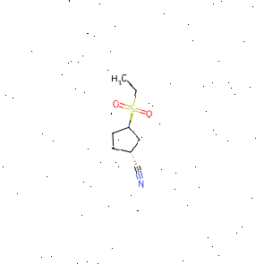 CCS(=O)(=O)[C@@H]1CC[C@@H](C#N)C1